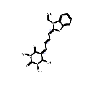 CCN1/C(=C/C=C/C=C2\C(=O)N(C)C(=O)N(C)C2O)Sc2ccccc21